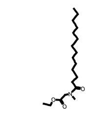 CCCCCCCCCCCCCC(=O)N(C)CC(=O)OCC